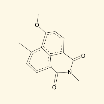 COc1ccc2c3c(ccc(C)c13)C(=O)N(C)C2=O